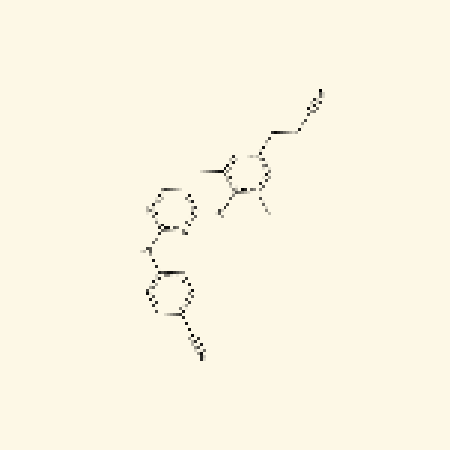 Cc1cc(CCC#N)cc(C)c1Oc1ccnc(N(C)c2ccc(C#N)cc2)n1